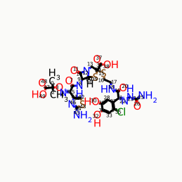 CC(C)(O/N=C(\C(=O)NC1C(=O)N2C[C@](SCCNC(=O)/C(=N\NC(N)=O)c3cc(O)c(O)cc3Cl)(C(=O)O)S[C@H]12)c1csc(N)n1)C(=O)O